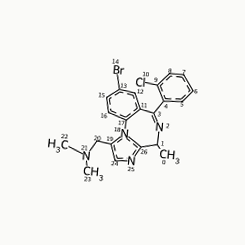 CC1N=C(c2ccccc2Cl)c2cc(Br)ccc2-n2c(CN(C)C)cnc21